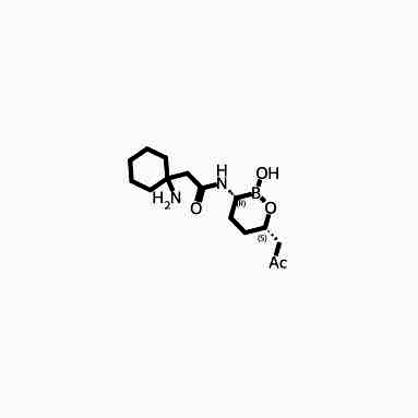 CC(=O)C[C@@H]1CC[C@H](NC(=O)CC2(N)CCCCC2)B(O)O1